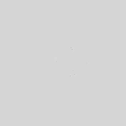 CC(C)c1ccc(F)c2nccc(O)c12